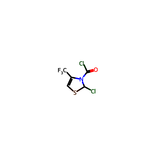 O=C(Cl)N1C(C(F)(F)F)=CSC1Cl